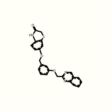 O=C1CSc2cc(OCc3cccc(OCc4ncc5ccccc5n4)c3)ccc2N1